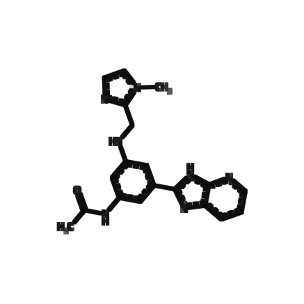 CC(=O)Nc1cc(NCc2nccn2C)cc(-c2nc3cccnc3[nH]2)c1